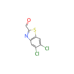 O=Cc1nc2cc(Cl)c(Cl)cc2s1